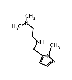 CN(C)CCNCc1ccnn1C